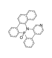 O=P12c3ccccc3-c3ccncc3N1c1c(ccc3ccccc13)-c1ccccc12